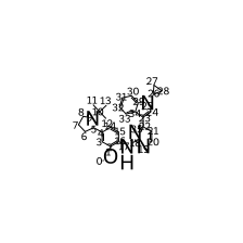 COc1cc(C2CCCN2C(C)(C)C)ccc1Nc1nccc(-c2cn(C3CC3)c3ccccc23)n1